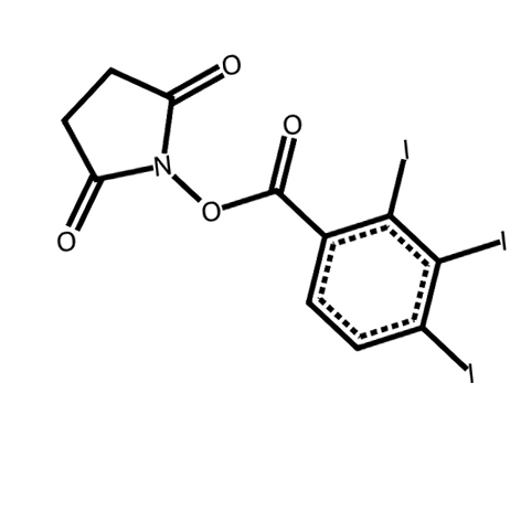 O=C(ON1C(=O)CCC1=O)c1ccc(I)c(I)c1I